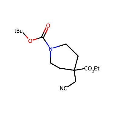 CCOC(=O)C1(CC#N)CCN(C(=O)OC(C)(C)C)CC1